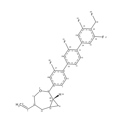 C=CC1COC(c2ccc(-c3ccc(-c4cc(F)c(CF)c(F)c4)c(F)c3)c(F)c2)[C@@H]2CC2C1